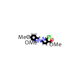 COC(=O)c1ccc(NCc2ccc(OC)cc2OC)nc1Cl